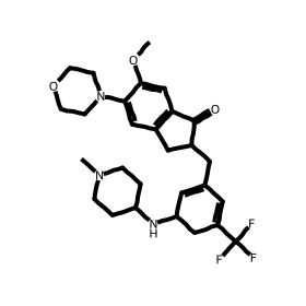 COc1cc2c(cc1N1CCOCC1)CC(CC1=CC(NC3CCN(C)CC3)CC(C(F)(F)F)=C1)C2=O